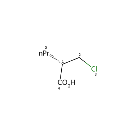 CCC[C@H](CCl)C(=O)O